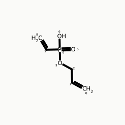 C=CCOP(=O)(O)C=C